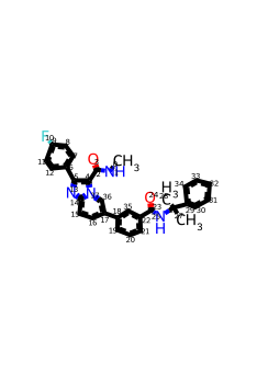 CNC(=O)c1c(-c2ccc(F)cc2)nc2ccc(-c3cccc(C(=O)NC(C)(C)c4ccccc4)c3)cn12